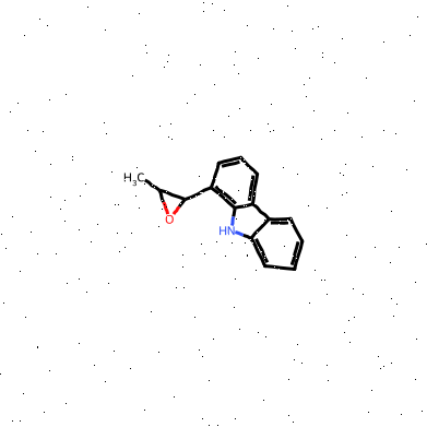 CC1OC1c1cccc2c1[nH]c1ccccc12